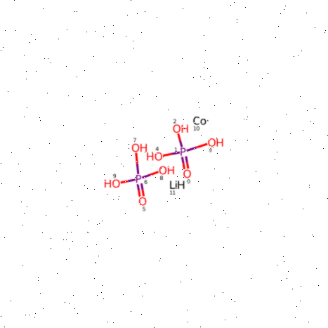 O=P(O)(O)O.O=P(O)(O)O.[Co].[LiH]